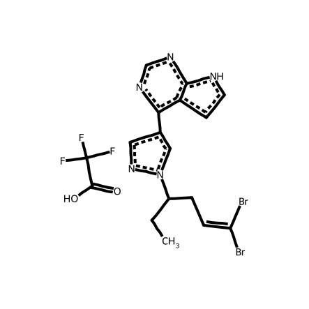 CCC(CC=C(Br)Br)n1cc(-c2ncnc3[nH]ccc23)cn1.O=C(O)C(F)(F)F